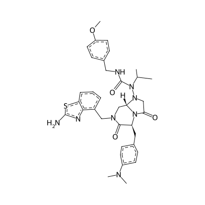 COc1ccc(CNC(=O)N(C(C)C)N2CC(=O)N3[C@@H](Cc4ccc(N(C)C)cc4)C(=O)N(Cc4cccc5sc(N)nc45)C[C@@H]32)cc1